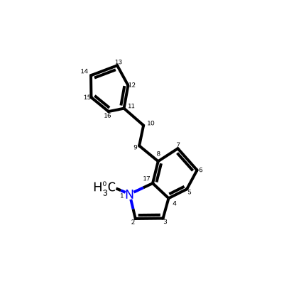 Cn1ccc2cccc(CCc3ccccc3)c21